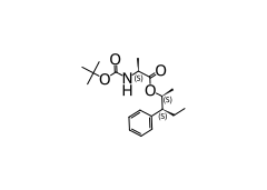 CC[C@@H](c1ccccc1)[C@H](C)OC(=O)[C@H](C)NC(=O)OC(C)(C)C